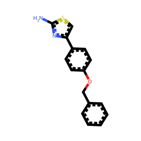 Nc1nc(-c2ccc(OCc3ccccc3)cc2)cs1